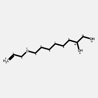 C=CCOCCCCCCC(O)CO